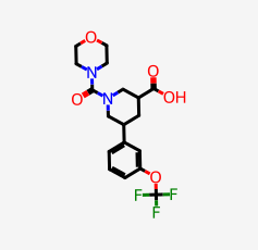 O=C(O)C1CC(c2cccc(OC(F)(F)F)c2)CN(C(=O)N2CCOCC2)C1